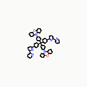 c1ccc(-c2cccc(-c3ccc(C(c4ccc(-c5cccc(-c6ccccn6)n5)cc4)(c4ccc(N5c6ccccc6Oc6ccccc65)cc4)c4ccc(N5c6ccccc6Oc6ccccc65)cc4)cc3)n2)nc1